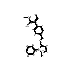 CC=C(C(=O)OC)c1ccc(COC2CCNN2c2ccccc2)cc1